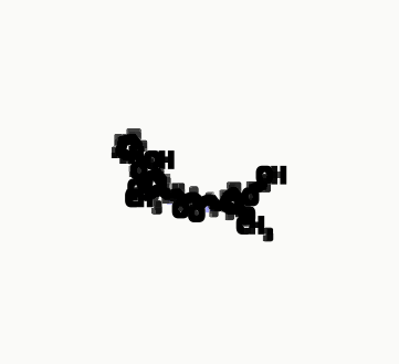 COc1cc(/C=C/C(=O)CC(=O)/C=C/c2ccc(OC(O)N3CCCCC3)c(OC)c2)ccc1OCCO